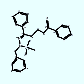 C[Si](C)(C)N(Cc1ccccc1)/N=C(\CCCC(=O)c1ccccc1)c1ccccc1